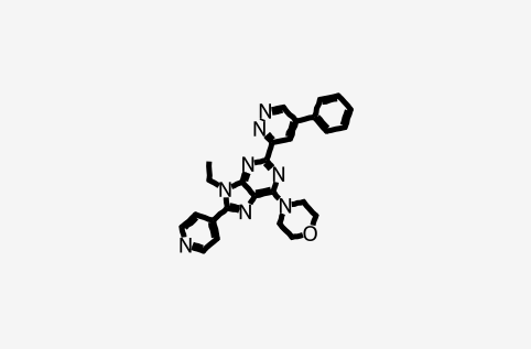 CCn1c(-c2ccncc2)nc2c(N3CCOCC3)nc(-c3cc(-c4ccccc4)cnn3)nc21